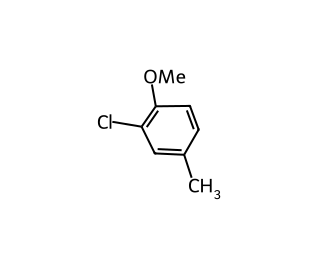 COc1ccc(C)cc1Cl